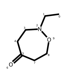 CCN1CCC(=O)CCO1